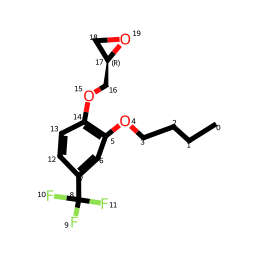 CCCCOc1cc(C(F)(F)F)ccc1OC[C@H]1CO1